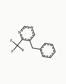 FC(F)(F)c1ncn[c]c1Cc1ccccc1